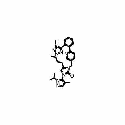 CCCCc1cn(-c2c(C)cnn2C(C)C)c(=O)n1Cc1ccc(-c2ccccc2-c2nnn[nH]2)nc1